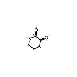 O=C1CCCSC1=O